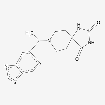 CC(c1ccc2scnc2c1)N1CCC2(CC1)NC(=O)NC2=O